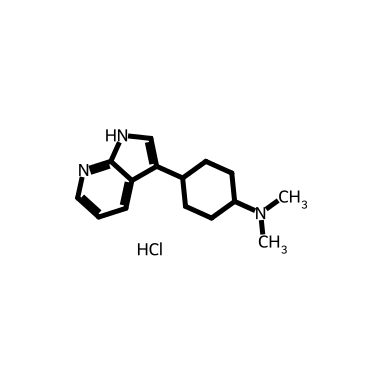 CN(C)C1CCC(c2c[nH]c3ncccc23)CC1.Cl